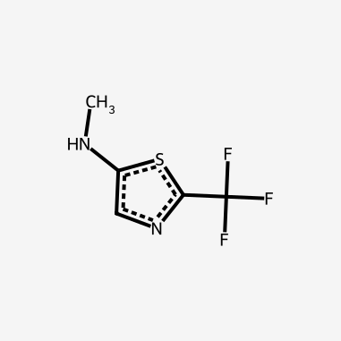 CNc1cnc(C(F)(F)F)s1